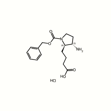 Cl.N[C@H]1CCN(C(=O)OCc2ccccc2)[C@@H]1CCCC(=O)O